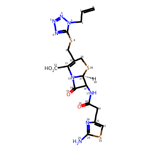 C=CCn1nnnc1SCC1=C(C(=O)O)N2C(=O)C(NC(=O)Cc3csc(N)n3)[C@@H]2SC1